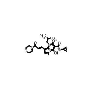 CC(C)Cn1c(=O)c(C(=O)NC2CC2)c(O)n2ncc(/C=C/C(=O)N3CCOCC3)c12